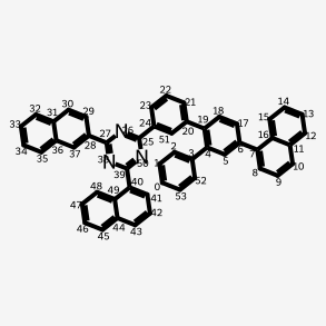 c1ccc(-c2cc(-c3cccc4ccccc34)ccc2-c2cccc(-c3nc(-c4ccc5ccccc5c4)nc(-c4cccc5ccccc45)n3)c2)cc1